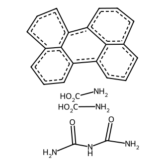 NC(=O)NC(N)=O.NC(=O)O.NC(=O)O.c1cc2cccc3c4cccc5cccc(c(c1)c23)c54